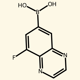 OB(O)c1cc(F)c2nccnc2c1